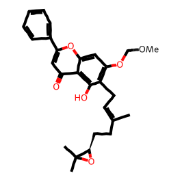 COCOc1cc2oc(-c3ccccc3)cc(=O)c2c(O)c1C/C=C(\C)CC[C@H]1OC1(C)C